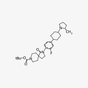 C[C@@H]1CCCN1C1CCC(c2ccc(N3CCC4(CCN(C(=O)OC(C)(C)C)CC4)C3=O)c(F)c2)CC1